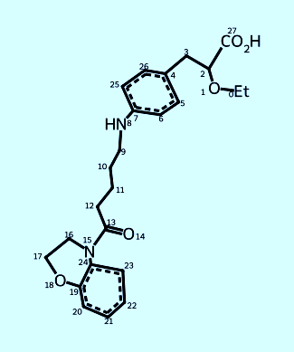 CCOC(Cc1ccc(NCCCCC(=O)N2CCOc3ccccc32)cc1)C(=O)O